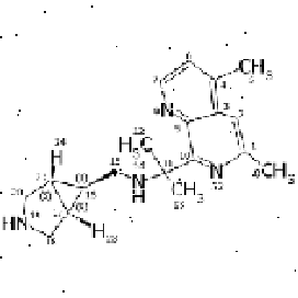 Cc1cc2c(C)ccnc2c(C(C)(C)NC[C@H]2[C@@H]3CNC[C@@H]32)n1